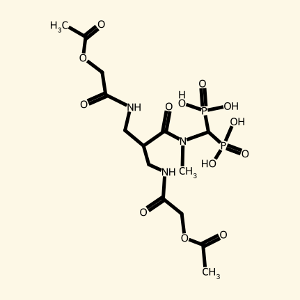 CC(=O)OCC(=O)NCC(CNC(=O)COC(C)=O)C(=O)N(C)C(P(=O)(O)O)P(=O)(O)O